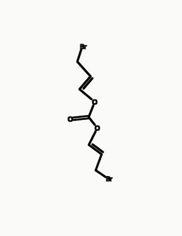 O=C(OC=CCBr)OC=CCBr